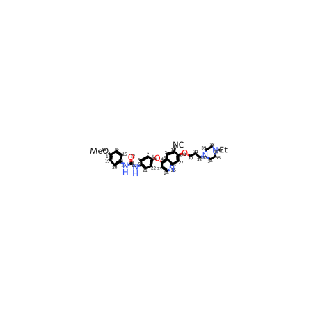 [C-]#[N+]c1cc2c(Oc3ccc(NC(=O)Nc4ccc(OC)cc4)cc3)ccnc2cc1OCCCN1CCN(CC)CC1